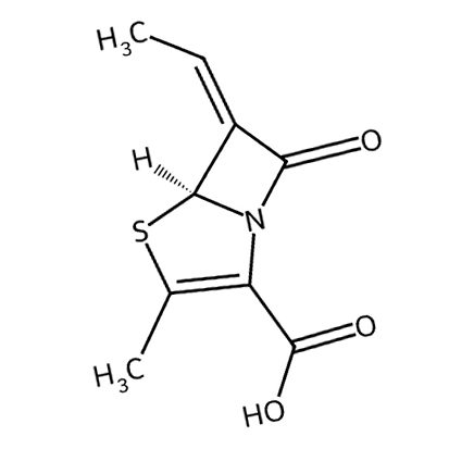 C/C=C1/C(=O)N2C(C(=O)O)=C(C)S[C@@H]12